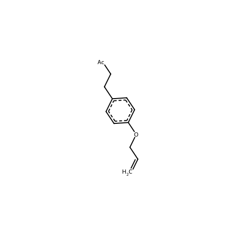 C=CCOc1ccc(CCC(C)=O)cc1